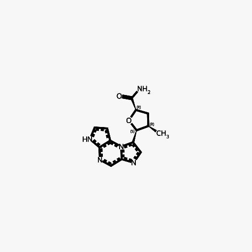 C[C@@H]1C[C@H](C(N)=O)O[C@@H]1c1cnc2cnc3[nH]ccc3n12